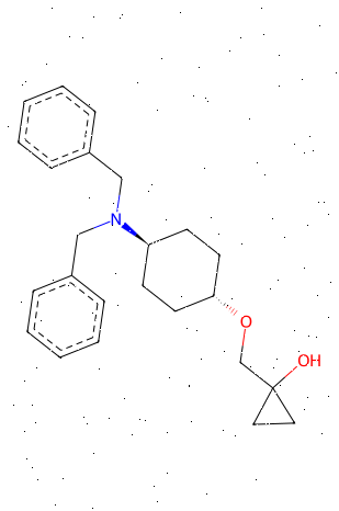 OC1(CO[C@H]2CC[C@H](N(Cc3ccccc3)Cc3ccccc3)CC2)CC1